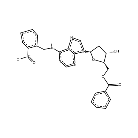 O=C(OC[C@H]1O[C@@H](n2cnc3c(NCc4ccccc4[N+](=O)[O-])ncnc32)C[C@@H]1O)c1ccccc1